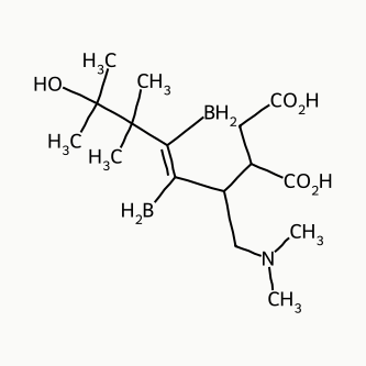 B/C(=C(/B)C(C)(C)C(C)(C)O)C(CN(C)C)C(CC(=O)O)C(=O)O